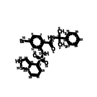 CC(C)(NC(=O)c1ccc(Br)cc1NS(=O)(=O)C1=CC=CN2SNC=C12)c1ccccc1